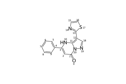 O=c1cc(-c2ccccc2)[nH]c2c(-c3nccs3)cnn12